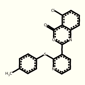 Cc1ccc(Sc2ncccc2-c2nc3cccc(Cl)c3c(=O)o2)cc1